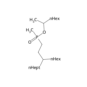 CCCCCCCC(CCCCCC)CCP(C)(=O)OC(C)CCCCCC